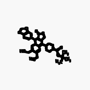 CC(C)(C)OC(=O)N1CC=C(c2c3c(c(-c4ccc5c(c4)OCO5)c4cc(CO)c(CO)cc24)C(=O)OC3)CC1